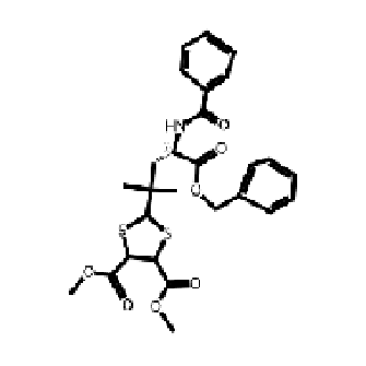 COC(=O)C1SC(C(C)(C)C[C@H](NC(=O)c2ccccc2)C(=O)OCc2ccccc2)SC1C(=O)OC